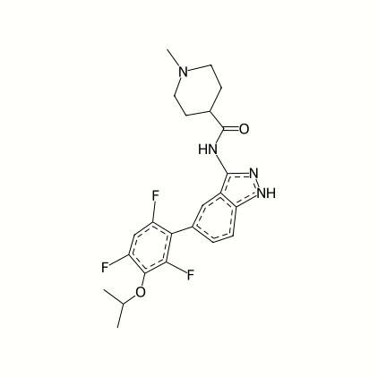 CC(C)Oc1c(F)cc(F)c(-c2ccc3[nH]nc(NC(=O)C4CCN(C)CC4)c3c2)c1F